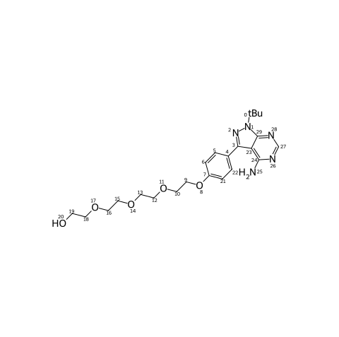 CC(C)(C)n1nc(-c2ccc(OCCOCCOCCOCCO)cc2)c2c(N)ncnc21